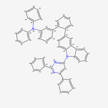 c1ccc(-c2cc(-n3c4ccccc4c4cc(-c5ccccc5-c5cccc(N(c6ccccc6)c6ccccc6)c5)ccc43)nc(-c3ccccc3)n2)cc1